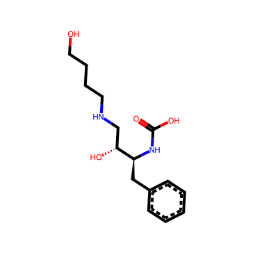 O=C(O)N[C@@H](Cc1ccccc1)[C@H](O)CNCCCCO